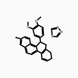 COc1ccc(C2CC3=C(C=CCC3)c3ccc4cc(C)ccc4c32)cc1OC.c1nncs1